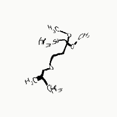 C=C(C)COCCC([SiH3])(OC)OC